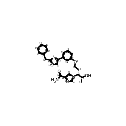 C[C@H](O)[C@@H](CCOc1cccc(-c2csc(Cc3ccccc3)n2)c1)n1cnc(C(N)=O)c1